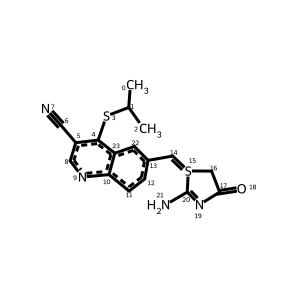 CC(C)Sc1c(C#N)cnc2ccc(/C=S3/CC(=O)N=C3N)cc12